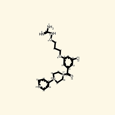 N=C(N)NOCCCOc1cc(Cl)cc(C(=O)N2CCN(c3ccncc3)CC2)c1